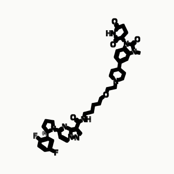 Cn1c(=O)n(C2CCC(=O)NC2=O)c2ccc(C3CCN(CCOCCCCCNC(=O)c4cnn5ccc(N6CCC[C@@H]6c6cc(F)ccc6F)nc45)CC3)cc21